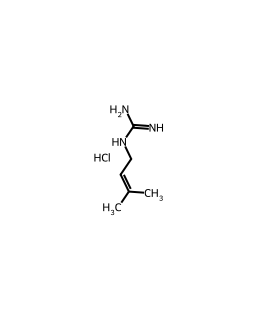 CC(C)=CCNC(=N)N.Cl